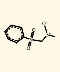 C[S+]([O-])CS(=O)(=O)c1[c]cccc1